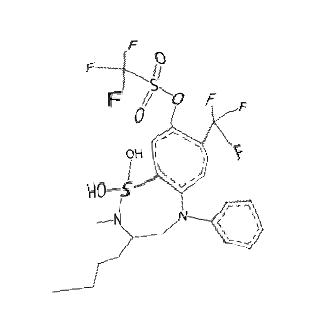 CCCCC1CN(c2ccccc2)c2cc(C(F)(F)F)c(OS(=O)(=O)C(F)(F)F)cc2S(O)(O)N1C